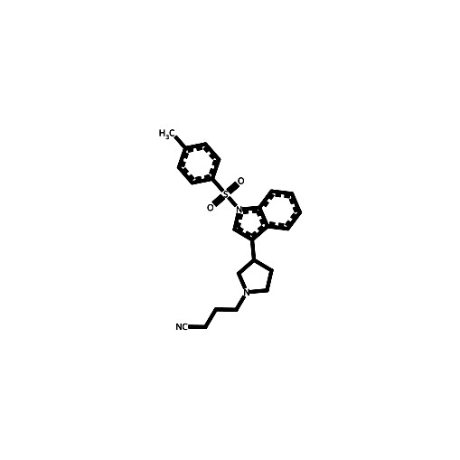 Cc1ccc(S(=O)(=O)n2cc(C3CCN(CCCC#N)C3)c3ccccc32)cc1